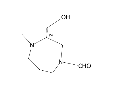 CN1CCCN(C=O)C[C@H]1CO